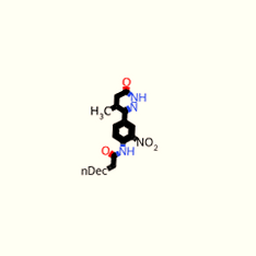 CCCCCCCCCCCC(=O)Nc1ccc(C2=NNC(=O)CC2C)cc1[N+](=O)[O-]